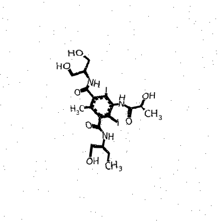 CCC(CO)NC(=O)c1c(C)c(C(=O)NC(CO)CO)c(I)c(NC(=O)[C@H](C)O)c1I